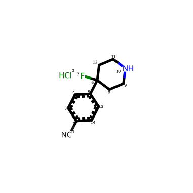 Cl.N#Cc1ccc(C2(F)CCNCC2)cc1